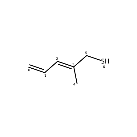 C=C/C=C(\C)CS